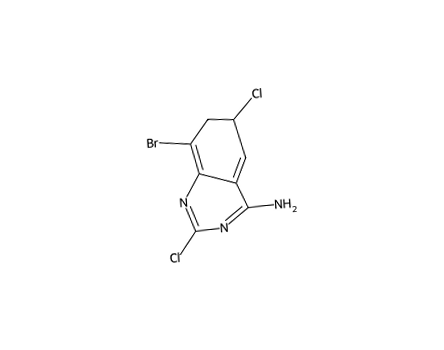 Nc1nc(Cl)nc2c1=CC(Cl)CC=2Br